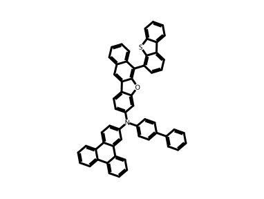 c1ccc(-c2ccc(N(c3ccc4c(c3)oc3c(-c5cccc6c5sc5ccccc56)c5ccccc5cc34)c3ccc4c5ccccc5c5ccccc5c4c3)cc2)cc1